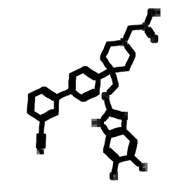 N#Cc1cccc(-c2ccc(C3(COc4nc5cc(Cl)c(Cl)cc5[nH]4)CCN(CS(=O)O)CC3)cc2)c1